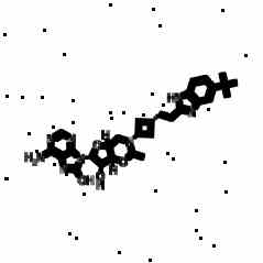 CC1O[C@H]2[C@@H](O)[C@H](n3c(O)nc4c(N)ncnc43)O[C@@H]2CN1[C@H]1C[C@@H](CCc2nc3cc(C(C)(C)C)ccc3[nH]2)C1